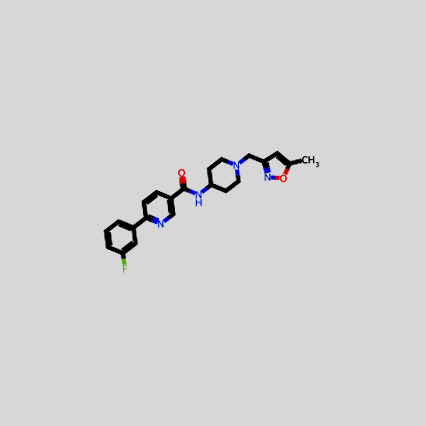 Cc1cc(CN2CCC(NC(=O)c3ccc(-c4cccc(F)c4)nc3)CC2)no1